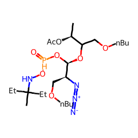 CCCCOCC(O[C@H](O[PH](=O)ONC(C)(CC)CC)[C@H](COCCCC)N=[N+]=[N-])[C@H](C)OC(C)=O